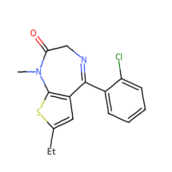 CCc1cc2c(s1)N(C)C(=O)CN=C2c1ccccc1Cl